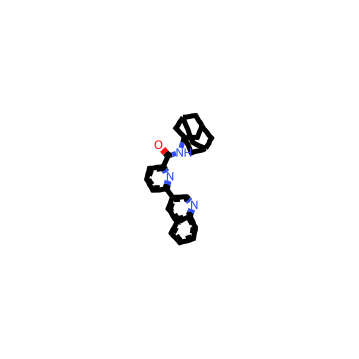 O=C(NC12CC3CC(CC(C3)C1)C2)c1cccc(-c2cnc3ccccc3c2)n1